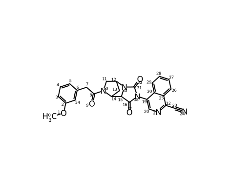 COc1cccc(CC(=O)N2CC3CC2C2C(=O)N(c4cnc(C#N)c5ccccc45)C(=O)N32)c1